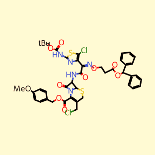 COc1ccc(COC(=O)C2=C(CCl)CSC3C(NC(=O)/C(=N\OCCC(=O)OC(c4ccccc4)c4ccccc4)c4nc(NC(=O)OC(C)(C)C)sc4Cl)C(=O)N23)cc1